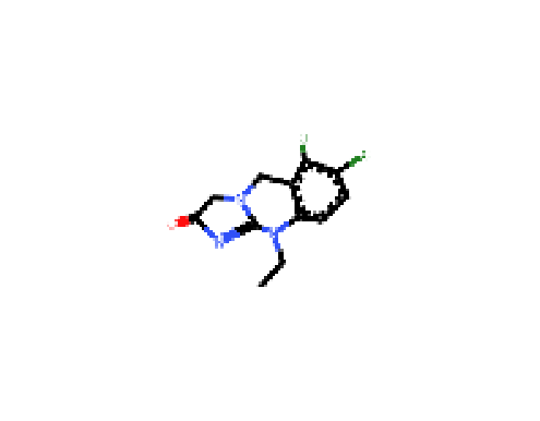 CCN1C2=NC(=O)CN2Cc2c1ccc(Cl)c2Cl